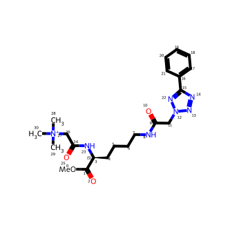 COC(=O)[C@H](CCCCNC(=O)Cn1nnc(-c2ccccc2)n1)NC(=O)C[N+](C)(C)C